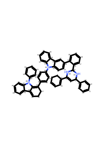 C1=CCCC(C2=CC(c3ccccc3)NC(c3ccccc3-c3ccc4c(c3)c3ccccc3n4-c3ccc(C4=c5c(c6ccccc6n5-c5ccccc5)=CCC4)cc3)N2)=C1